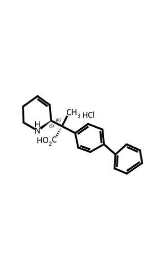 C[C@@](C(=O)O)(c1ccc(-c2ccccc2)cc1)[C@@H]1C=CCCN1.Cl